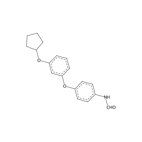 O=CNc1ccc(Oc2cccc(OC3CCCC3)c2)cc1